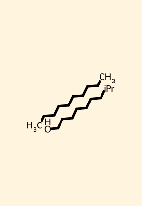 CC(C)CCCCCCCO.CCCCCCCCCC